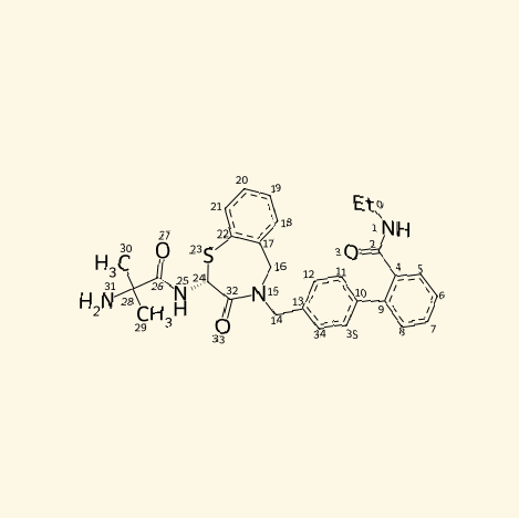 CCNC(=O)c1ccccc1-c1ccc(CN2Cc3ccccc3S[C@@H](NC(=O)C(C)(C)N)C2=O)cc1